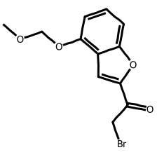 COCOc1cccc2oc(C(=O)CBr)cc12